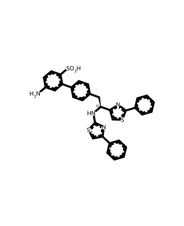 Nc1ccc(S(=O)(=O)O)c(-c2ccc(C[C@H](Nc3nc(-c4ccccc4)cs3)c3csc(-c4ccccc4)n3)cc2)c1